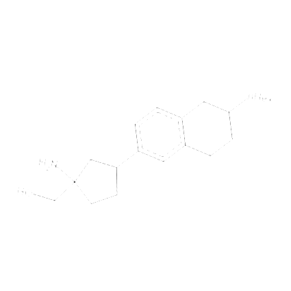 CCCCCCC1CCc2cc(C3CCC(N)(CO)C3)ccc2C1